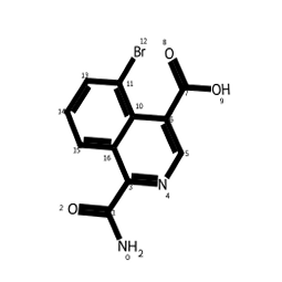 NC(=O)c1ncc(C(=O)O)c2c(Br)cccc12